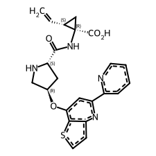 C=C[C@@H]1C[C@]1(NC(=O)[C@@H]1C[C@@H](Oc2cc(-c3ccccn3)nc3ccsc23)CN1)C(=O)O